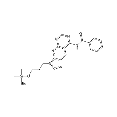 CC(C)(C)[Si](C)(C)OCCCn1cnc2cc3c(NC(=O)c4ccccc4)ncnc3nc21